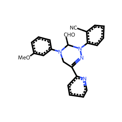 COc1cccc(N2CC(c3ccccn3)=NN(c3ccccc3C#N)C2C=O)c1